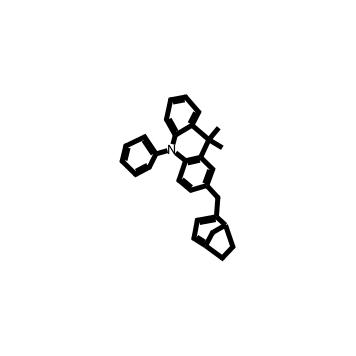 CC1(C)c2ccccc2N(c2ccccc2)c2ccc(CC3=CC=C4CCC3C4)cc21